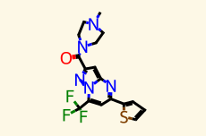 CN1CCN(C(=O)c2cc3nc(-c4cccs4)cc(C(F)(F)F)n3n2)CC1